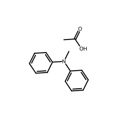 CC(=O)O.CN(c1ccccc1)c1ccccc1